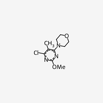 COc1nc(Cl)c(C)c(N2CCOCC2)n1